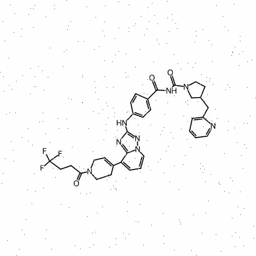 O=C(NC(=O)N1CCC(Cc2ccccn2)C1)c1ccc(Nc2nc3c(C4=CCN(C(=O)CCC(F)(F)F)CC4)cccn3n2)cc1